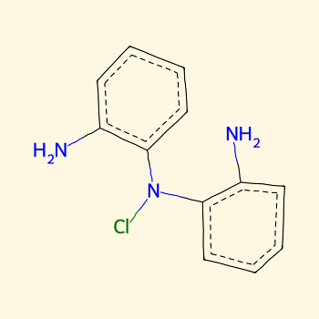 Nc1ccccc1N(Cl)c1ccccc1N